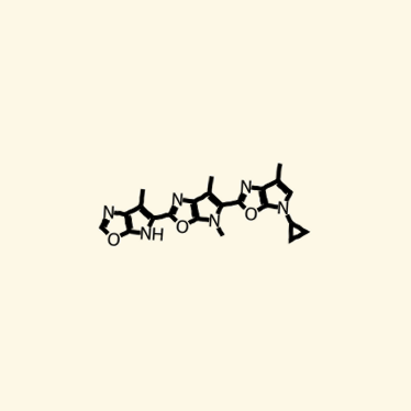 Cc1c(-c2nc3c(C)c(-c4nc5c(C)cn(C6CC6)c5o4)n(C)c3o2)[nH]c2ocnc12